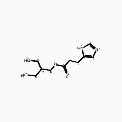 O=C(CCc1cnc[nH]1)OCC(CO)CO